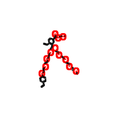 C=Cc1ccc(OCCOCCOCCOCC(OCCOCCOCCOCCOC)c2cc(C(=O)OCOC)ccc2C=C)cc1